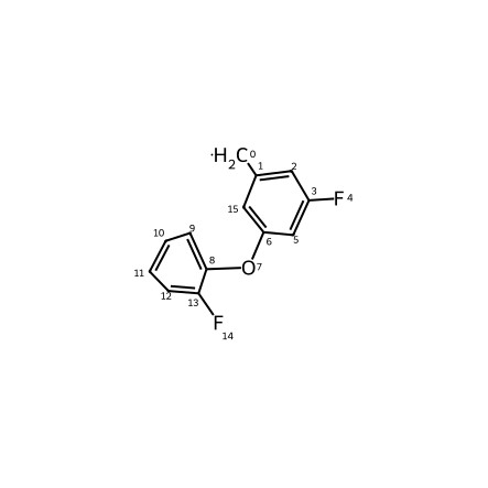 [CH2]c1cc(F)cc(Oc2ccccc2F)c1